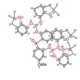 COc1ccc(C(=O)c2ccccc2OP(Oc2cccc3c2OC(C)(C)C3)Oc2cccc3c2OC(C)(C)C3)c(OP(Oc2cccc3c2OC(C)(C)C3)Oc2cccc3c2OC(C)(C)C3)c1